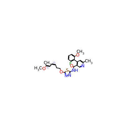 CO/C(C)=C/C=C\CCOc1nnc(NC(=O)c2cnc(C)cc2-c2c(F)cccc2OC)s1